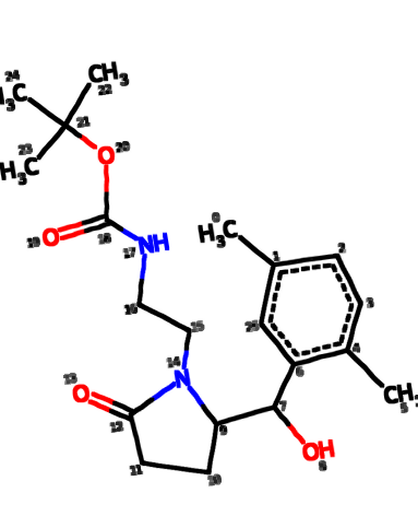 Cc1ccc(C)c(C(O)C2CCC(=O)N2CCNC(=O)OC(C)(C)C)c1